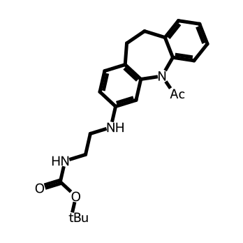 CC(=O)N1c2ccccc2CCc2ccc(NCCNC(=O)OC(C)(C)C)cc21